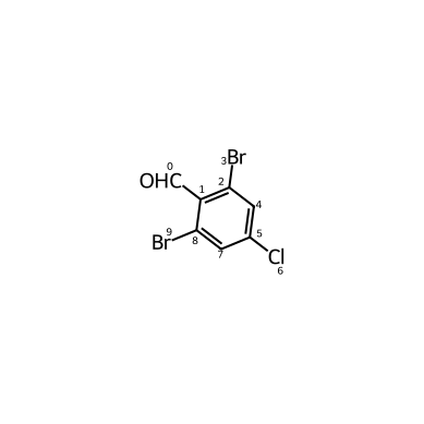 O=Cc1c(Br)cc(Cl)cc1Br